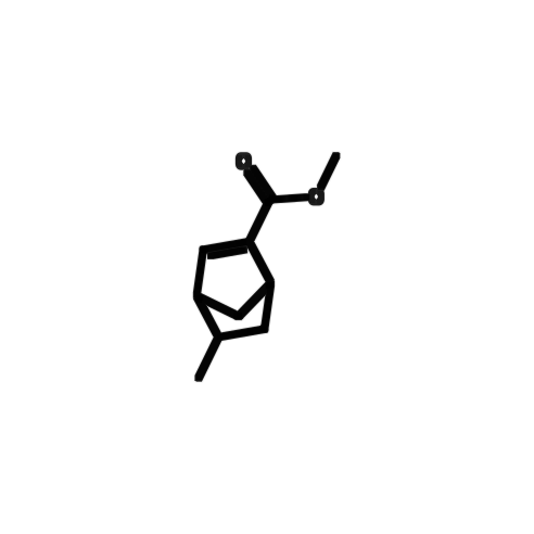 COC(=O)C1=CC2CC1CC2C